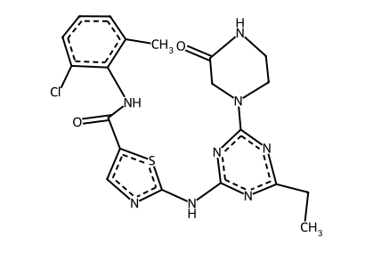 CCc1nc(Nc2ncc(C(=O)Nc3c(C)cccc3Cl)s2)nc(N2CCNC(=O)C2)n1